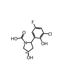 O=C(O)N1C[C@H](O)CC1c1cc(F)cc(Cl)c1O